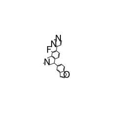 CN1Cc2c(ccc(-c3ccncn3)c2F)C(c2ccc3occc3c2)C1